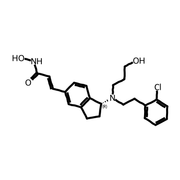 O=C(C=Cc1ccc2c(c1)CC[C@H]2N(CCCO)CCc1ccccc1Cl)NO